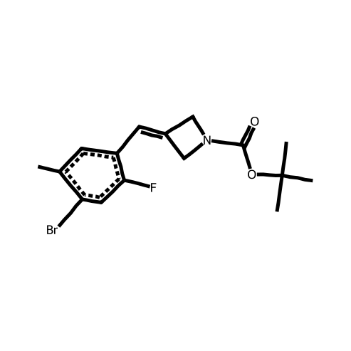 Cc1cc(C=C2CN(C(=O)OC(C)(C)C)C2)c(F)cc1Br